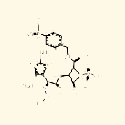 CO/N=C(\C(=O)NC1C(=O)N(S(=O)(=O)O)C1C(=O)OCc1ccc([N+](=O)[O-])cc1)c1csc(N)n1.[NaH]